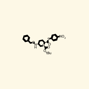 CC(C)(C)OC(=O)N1C[C@H](NOCc2ccccc2)CC[C@H]1C(=O)Sc1ccc([N+](=O)[O-])cc1